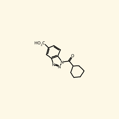 O=C(O)c1ccc2c(c1)nnn2C(=O)C1CCCCC1